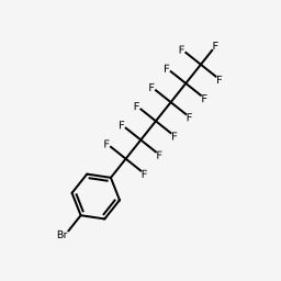 FC(F)(F)C(F)(F)C(F)(F)C(F)(F)C(F)(F)C(F)(F)c1ccc(Br)cc1